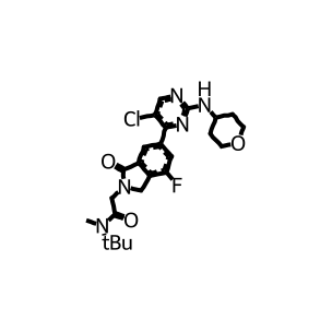 CN(C(=O)CN1Cc2c(F)cc(-c3nc(NC4CCOCC4)ncc3Cl)cc2C1=O)C(C)(C)C